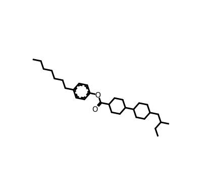 CCCCCCCc1ccc(OC(=O)C2CCC(C3CCC(CC(C)CC)CC3)CC2)cc1